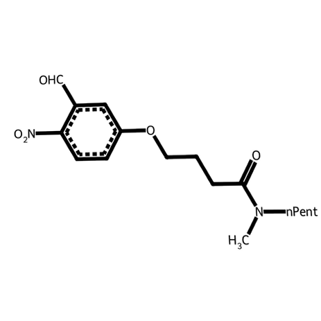 CCCCCN(C)C(=O)CCCOc1ccc([N+](=O)[O-])c(C=O)c1